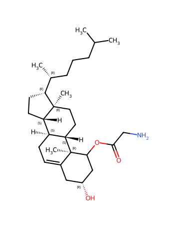 CC(C)CCC[C@@H](C)[C@H]1CC[C@H]2[C@@H]3CC=C4C[C@@H](O)CC(OC(=O)CN)[C@]4(C)[C@H]3CC[C@]12C